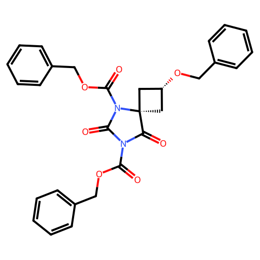 O=C(OCc1ccccc1)N1C(=O)N(C(=O)OCc2ccccc2)[C@]2(C[C@@H](OCc3ccccc3)C2)C1=O